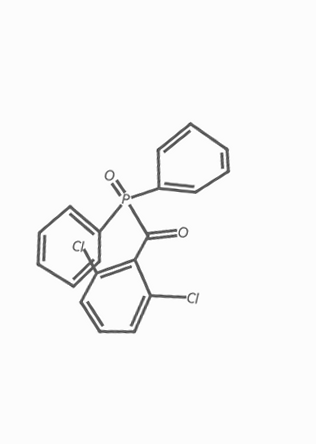 O=C(c1c(Cl)cccc1Cl)P(=O)(c1ccccc1)c1ccccc1